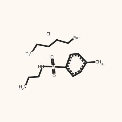 CCCC[CH2][Ru+].Cc1ccc(S(=O)(=O)NCCN)cc1.[Cl-]